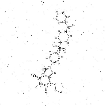 CCCn1c(=O)n(C)c(=O)c2[nH]c(-c3ccc(S(=O)(=O)N4CCN(C(C)c5ccccc5)CC4)cc3)cc21